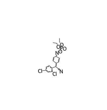 CCOP(=O)(OCC)ON=C1C=CC(=C(C#N)c2ccc(Cl)cc2Cl)C=C1